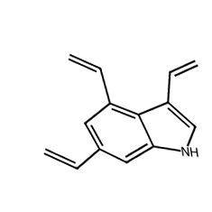 C=Cc1cc(C=C)c2c(C=C)c[nH]c2c1